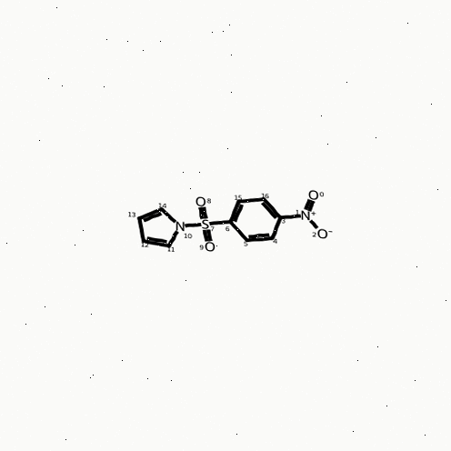 O=[N+]([O-])c1ccc(S(=O)(=O)n2cccc2)cc1